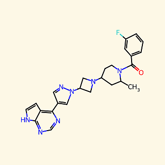 CC1CC(N2C[C](n3cc(-c4ncnc5[nH]ccc45)cn3)C2)CCN1C(=O)c1cccc(F)c1